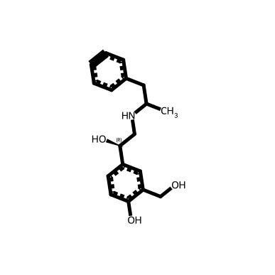 CC(Cc1cc#ccc1)NC[C@H](O)c1ccc(O)c(CO)c1